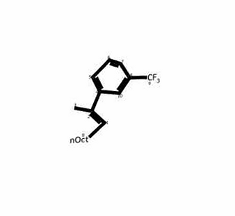 CCCCCCCCC=C(C)c1cccc(C(F)(F)F)c1